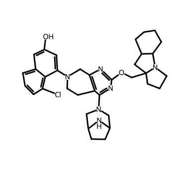 Oc1cc(N2CCc3c(nc(OCC45CCCN4C4CCCCC4C5)nc3N3CC4CCC(C3)N4)C2)c2c(Cl)cccc2c1